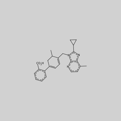 Cc1ccnc2c1nc(C1CC1)n2CC1=CC=C(c2ccccc2C(=O)O)CC1C